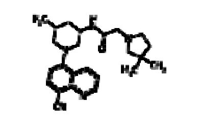 CC1(C)CCN(CC(=O)NC2CC(C(F)(F)F)CN(c3ccc(C#N)c4ncccc34)C2)C1